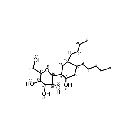 CCCCCC1CC(O)C(C2OC(CO)C(O)C(O)C2O)CC1CCCC